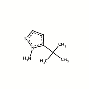 CC(C)(C)c1ccnn1N